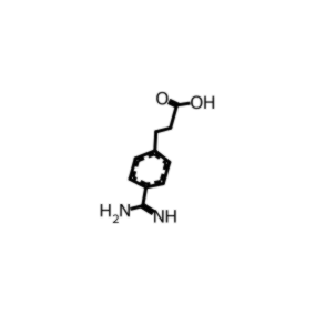 N=C(N)c1ccc(CCC(=O)O)cc1